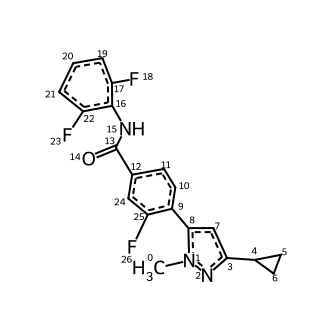 Cn1nc(C2CC2)cc1-c1ccc(C(=O)Nc2c(F)cccc2F)cc1F